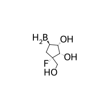 B[C@@H]1C[C@](F)(CO)[C@@H](O)[C@H]1O